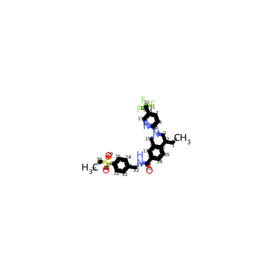 CCC1CN(c2ccc(C(F)(F)F)cn2)Cc2cc(C(=O)NCc3ccc(S(=O)(=O)CC)cc3)ccc21